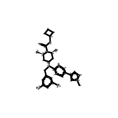 CC[C@@H]1C[C@H](N(Cc2cc(C(F)(F)F)cc(C(F)(F)F)c2)c2ncc(-c3cnn(C)c3)cn2)C[C@H](CC)N1C(=O)OC1CCC1